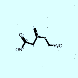 C=C(CCN=O)CC(=O)N=O